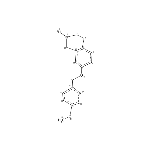 [2H]N1CCc2ccc(OCc3ccc(OC)cn3)cc2C1